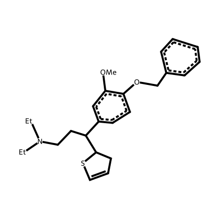 CCN(CC)CCC(c1ccc(OCc2ccccc2)c(OC)c1)C1CC=CS1